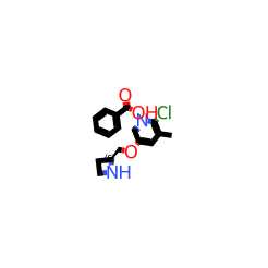 Cc1cc(OC[C@@H]2CCN2)cnc1Cl.O=C(O)c1ccccc1